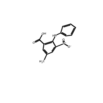 Cc1cc(C(=O)O)c(Nc2ccccc2)c([N+](=O)[O-])c1